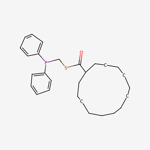 O=C(SCP(c1ccccc1)c1ccccc1)C1CCCCCCCCCCCCC1